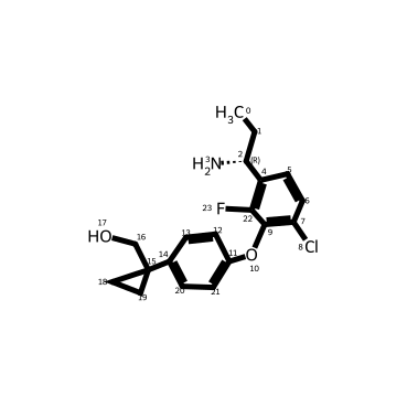 CC[C@@H](N)c1ccc(Cl)c(Oc2ccc(C3(CO)CC3)cc2)c1F